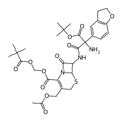 CC(=O)OCC1=C(C(=O)OCOC(=O)C(C)(C)C)N2C(=O)C(NC(=O)C(N)(C(=O)OC(C)(C)C)c3ccc4c(c3)CCO4)C2SC1